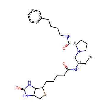 CC(C)C[C@H](CN1CCC[C@H]1C(=O)NCCCCc1ccccc1)NC(=O)CCCCC1SCC2NC(=O)NC21